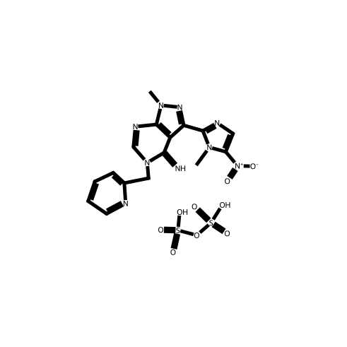 Cn1c([N+](=O)[O-])cnc1-c1nn(C)c2ncn(Cc3ccccn3)c(=N)c12.O=S(=O)(O)OS(=O)(=O)O